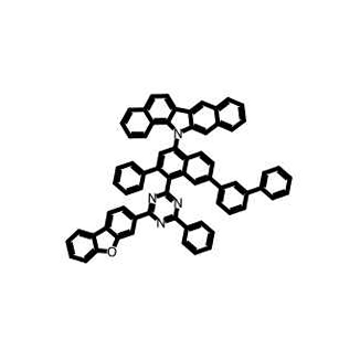 c1ccc(-c2cccc(-c3ccc4c(-n5c6cc7ccccc7cc6c6ccc7ccccc7c65)cc(-c5ccccc5)c(-c5nc(-c6ccccc6)nc(-c6ccc7c(c6)oc6ccccc67)n5)c4c3)c2)cc1